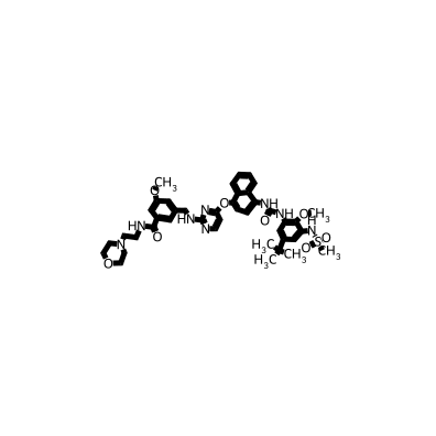 COc1cc(CNc2nccc(Oc3ccc(NC(=O)Nc4cc(C(C)(C)C)cc(NS(C)(=O)=O)c4OC)c4ccccc34)n2)cc(C(=O)NCCN2CCOCC2)c1